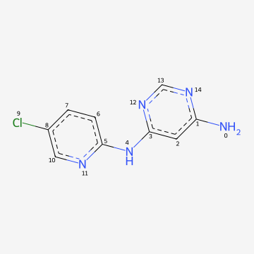 Nc1cc(Nc2ccc(Cl)cn2)ncn1